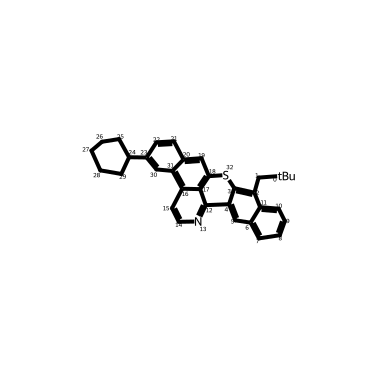 CC(C)(C)Cc1c2c(cc3ccccc13)-c1nccc3c1c(cc1ccc(C4CCCCC4)cc13)S2